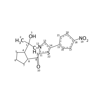 CC(C)(O)C1CCCC1C(=O)c1ncc(-c2ccc([N+](=O)[O-])cc2)s1